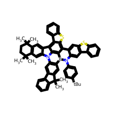 CC(C)(C)c1ccc(N2B3c4cc5c(cc4-n4c6cc7c(cc6c6c8c(sc9ccccc98)c(c3c64)-c3cc4sc6ccccc6c4cc32)C(C)(C)CCC7(C)C)-c2ccccc2C5(C)C)cc1